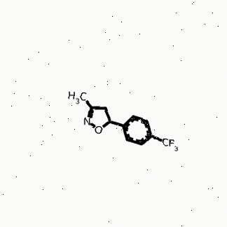 CC1=NOC(c2ccc(C(F)(F)F)cc2)C1